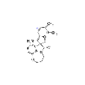 C=C(/C=C\C1=C(N)C2(CO1)C(=O)N1CCCOc3cccc2c31)OC